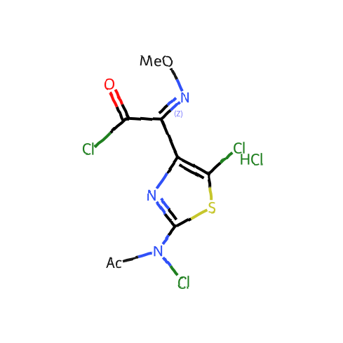 CO/N=C(\C(=O)Cl)c1nc(N(Cl)C(C)=O)sc1Cl.Cl